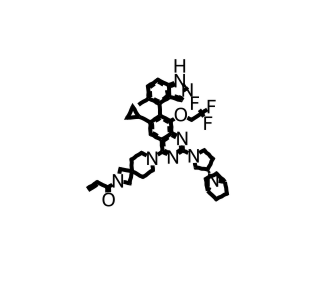 C=CC(=O)N1CC2(CCN(c3nc(N4CC[C@@H](N5C6CCC5CC6)C4)nc4c(OCC(F)(F)F)c(-c5c(C)ccc6[nH]ncc56)c(C5CC5)cc34)CC2)C1